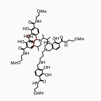 COCCNC(=O)c1ccc(CNCCCN(CCC(C)C(C)N(Cc2ccc(C(=O)NCCOC)c(O)c2O)CC(C)C(C)NCc2ccc(C(=O)NCCOC)c(O)c2O)Cc2ccc(C(=O)NCCOC)c(O)c2O)c(O)c1O